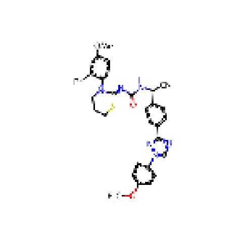 COc1ccc(N2CCCS/C2=N\C(=O)NC(C#N)c2ccc(-c3ncn(-c4ccc(OC(F)(F)F)cc4)n3)cc2)c(C(C)C)c1